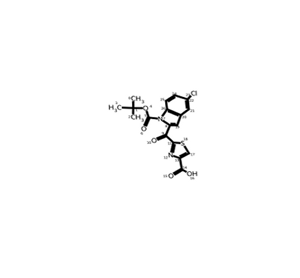 CC(C)(C)OC(=O)n1c(C(=O)c2nc(C(=O)O)cs2)cc2cc(Cl)ccc21